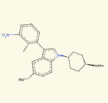 CN[C@H]1CC[C@@H](n2cc(-c3cccc(N)c3C)c3cc(C#N)ccc32)CC1